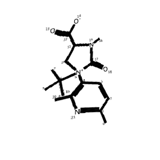 Cc1ccc([N+]2(C(C)(C)C)CC(C(=O)[O-])N(C)C2=O)c(C)n1